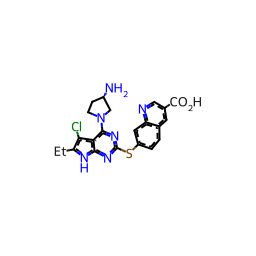 CCc1[nH]c2nc(Sc3ccc4cc(C(=O)O)cnc4c3)nc(N3CC[C@@H](N)C3)c2c1Cl